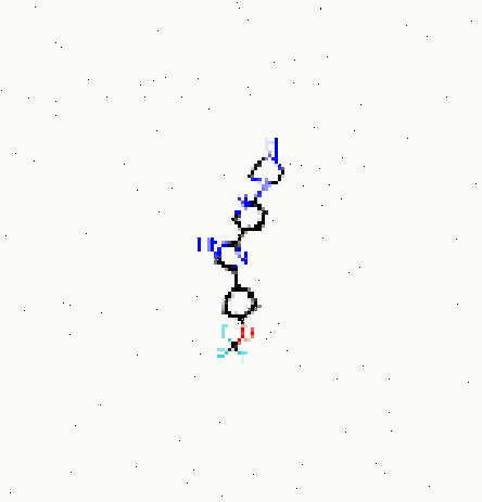 FC(F)(F)Oc1ccc(-c2c[nH]c(-c3ccc(N4CCNCC4)nc3)n2)cc1